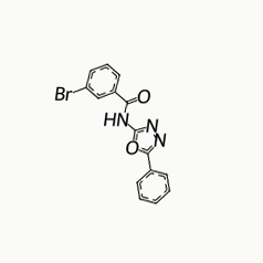 O=C(Nc1nnc(-c2ccccc2)o1)c1cccc(Br)c1